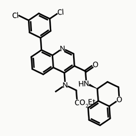 CCOC(=O)CN(C)c1c(C(=O)N[C@H]2CCOc3ccccc32)cnc2c(-c3cc(Cl)cc(Cl)c3)cccc12